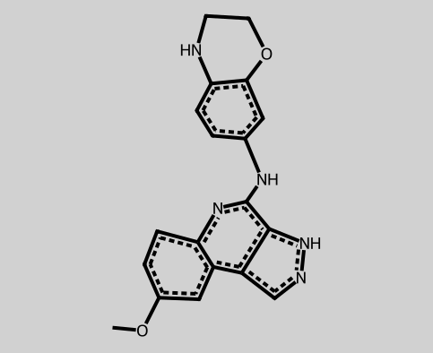 COc1ccc2nc(Nc3ccc4c(c3)OCCN4)c3[nH]ncc3c2c1